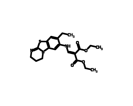 CCOC(=O)C(=CNc1cc2c(cc1CC)SC1=NCCCN12)C(=O)OCC